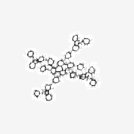 c1ccc(-c2cc(-c3cccc(-c4ccc5c(c4)c4ccccc4n5-c4ccccc4)c3)c3c4cccc5c6c(-c7cccc(-c8ccc9c(c8)c8ccccc8n9-c8ccccc8)c7)c(-c7ccccc7)cc(-c7cccc(-c8ccc9c(c8)c8ccccc8n9-c8ccccc8)c7)c6c6cccc(c3c2-c2cccc(-c3ccc7c(c3)c3ccccc3n7-c3ccccc3)c2)c6c45)cc1